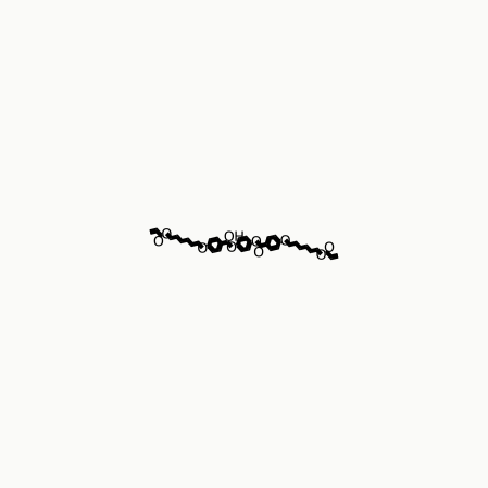 C=CC(=O)OCCCCCCOc1ccc(C(=O)Oc2ccc(OC(O)c3ccc(OCCCCCCOC(=O)C=C)cc3)cc2)cc1